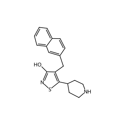 Oc1nsc(C2CCNCC2)c1Cc1ccc2ccccc2c1